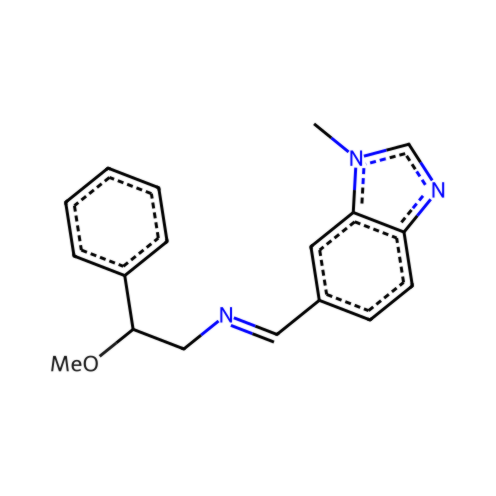 COC(CN=Cc1ccc2ncn(C)c2c1)c1ccccc1